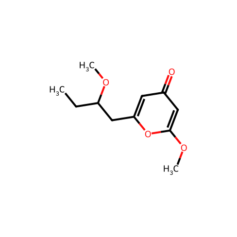 CCC(Cc1cc(=O)cc(OC)o1)OC